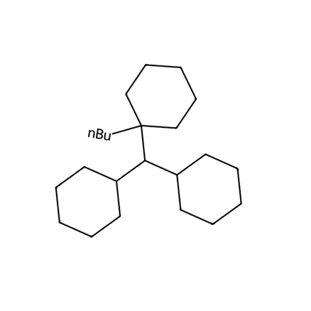 CCCCC1(C(C2CCCCC2)C2CCCCC2)CCCCC1